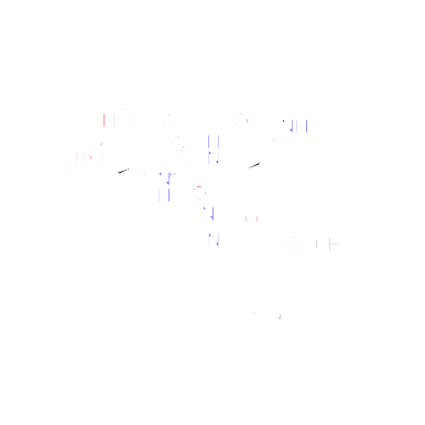 COc1ccccc1-c1nnc([C@H](CC(N)=O)NS(=O)(=O)N[C@@H](CO)C(=O)O)o1